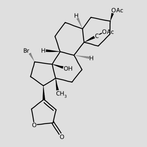 CC(=O)OC[C@]12CC[C@H](OC(C)=O)C[C@@H]1CC[C@@H]1[C@@H]2CC[C@]2(C)[C@@H](C3=CC(=O)OC3)C[C@H](Br)[C@]12O